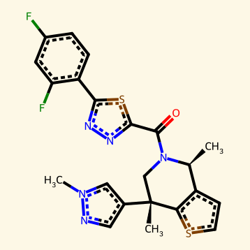 C[C@H]1c2ccsc2[C@](C)(c2cnn(C)c2)CN1C(=O)c1nnc(-c2ccc(F)cc2F)s1